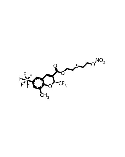 Cc1cc(S(F)(F)(F)(F)F)cc2c1O[C@H](C(F)(F)F)C(C(=O)OCCSCCO[N+](=O)[O-])=C2